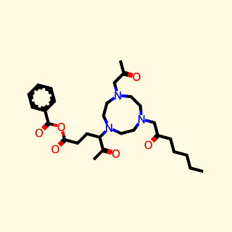 CCCCCC(=O)CN1CCN(CC(C)=O)CCN(C(CCC(=O)OC(=O)c2ccccc2)C(C)=O)CC1